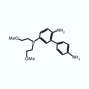 COCCN(CCOC)c1ccc(N)c(-c2ccc(N)cc2)c1